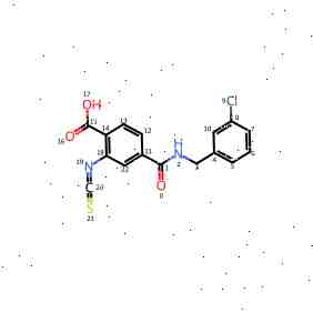 O=C(NCc1cccc(Cl)c1)c1ccc(C(=O)O)c(N=C=S)c1